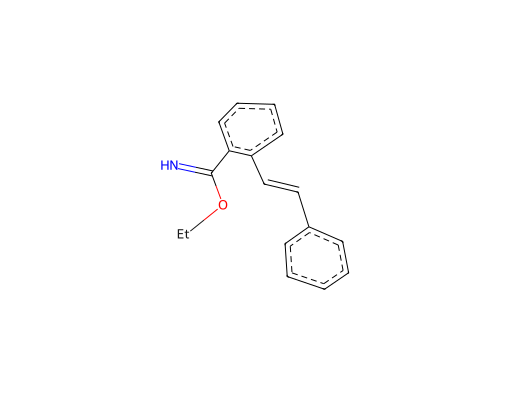 CCOC(=N)c1ccccc1C=Cc1ccccc1